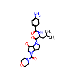 CC(C)CC(NC(=O)c1ccc(N)cc1)C(=O)N1CCC2C1C(=O)CN2C(=O)N1CCOCC1